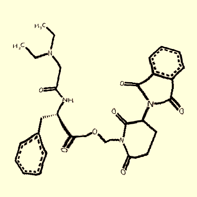 CCN(CC)CC(=O)N[C@@H](Cc1ccccc1)C(=O)OCN1C(=O)CCC(N2C(=O)c3ccccc3C2=O)C1=O